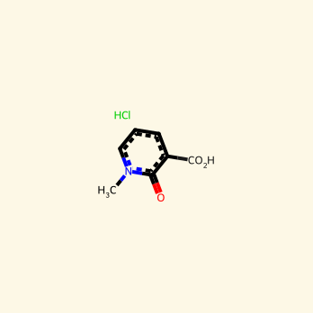 Cl.Cn1cccc(C(=O)O)c1=O